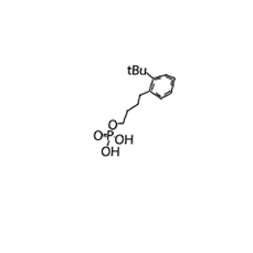 CC(C)(C)c1ccccc1CCCCOP(=O)(O)O